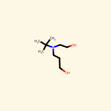 CC(C)(C)N(CCO)CCCO